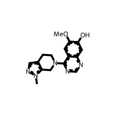 COc1cc2c(N3CCc4cnn(C)c4C3)ncnc2cc1O